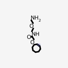 NCCOCCNC(=O)COC1/C=C\CCCCC1